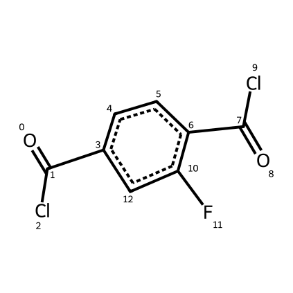 O=C(Cl)c1ccc(C(=O)Cl)c(F)c1